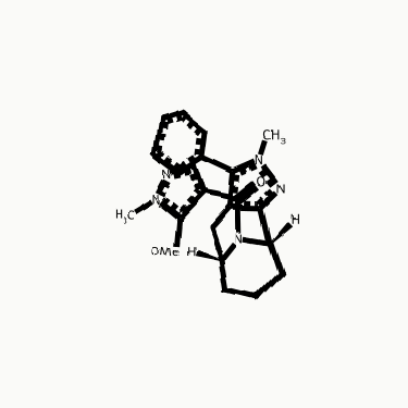 COc1c(C(=O)N2[C@@H]3CCC[C@H]2c2nn(C)c(-c4ccccc4)c2C3)cnn1C